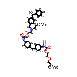 COCCOCCOC(=O)NC1CCC(CC2CCC(NC(=O)OCCN(CCOC)Cc3ccc(C(=O)c4ccccc4)cc3)CC2)CC1